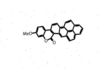 COc1ccc2c(c1)oc(=O)c1c2ccc2c1cc1ccc3cccc4ccc2c1c34